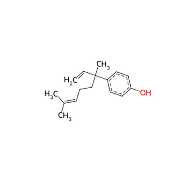 C=CC(C)(CCC=C(C)C)c1ccc(O)cc1